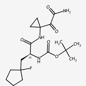 CC(C)(C)OC(=O)N[C@@H](CC1(F)CCCC1)C(=O)NC1(C(=O)C(N)=O)CC1